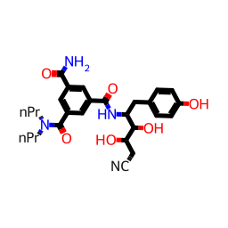 CCCN(CCC)C(=O)c1cc(C(N)=O)cc(C(=O)NC(Cc2ccc(O)cc2)C(O)C(O)CC#N)c1